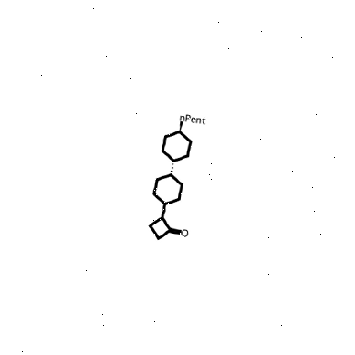 CCCCC[C@H]1CC[C@H](C2CCC(C3CCC3=O)CC2)CC1